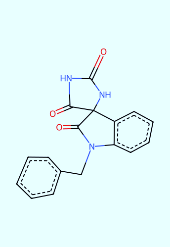 O=C1NC(=O)C2(N1)C(=O)N(Cc1ccccc1)c1ccccc12